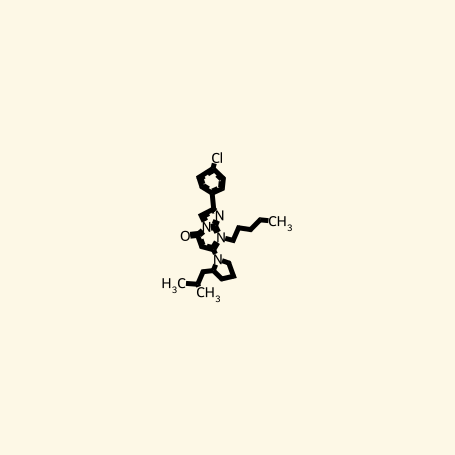 CCCCCn1c(N2CCCC2CC(C)C)cc(=O)n2cc(-c3ccc(Cl)cc3)nc12